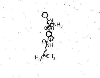 CN(C)CCCNC(=O)N1CCc2cc(S(=O)(=O)N3CC(C4CCCCC4)N=C3N)ccc21